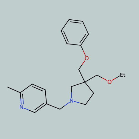 CCOCC1(COc2ccccc2)CCN(Cc2ccc(C)nc2)C1